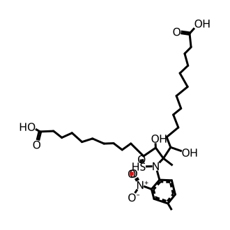 Cc1ccc(N([SH](=O)=O)C(C)(C(O)CCCCCCCCCCC(=O)O)C(O)CCCCCCCCCCC(=O)O)c([N+](=O)[O-])c1